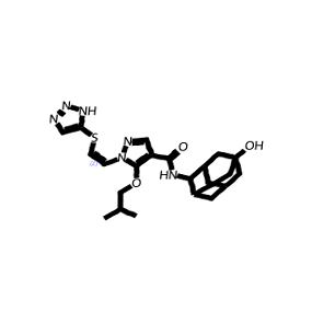 CC(C)COc1c(C(=O)NC2C3CC4CC2CC(O)(C4)C3)cnn1/C=C\Sc1cnn[nH]1